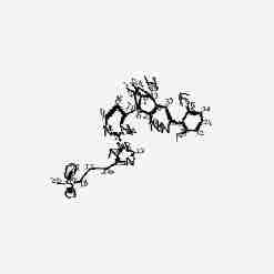 CC1(C)[C@H]2CC[C@@]1(c1ccnc(-n3cnc(CCCS(C)(=O)=O)n3)n1)c1nnc(-c3c(F)cccc3F)cc12